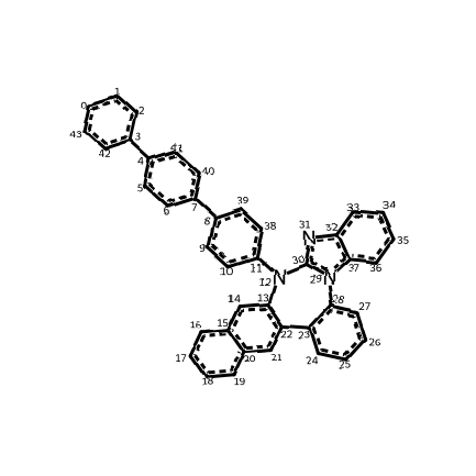 c1ccc(-c2ccc(-c3ccc(N4c5cc6ccccc6cc5-c5ccccc5-n5c4nc4ccccc45)cc3)cc2)cc1